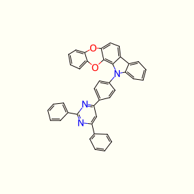 c1ccc(-c2cc(-c3ccc(-n4c5ccccc5c5ccc6c(c54)Oc4ccccc4O6)cc3)nc(-c3ccccc3)n2)cc1